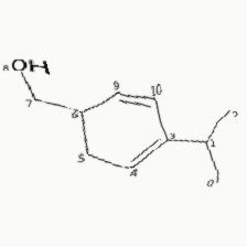 CC(C)C1=CCC(CO)C=C1